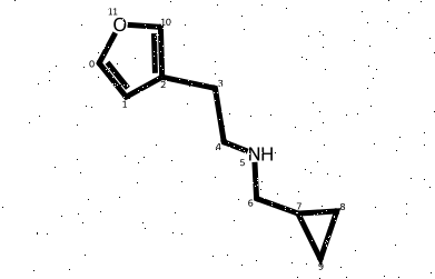 c1cc(CCNCC2CC2)co1